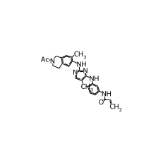 C=CC(=O)Nc1cccc(Nc2nc(Nc3cc4c(cc3C)CN(C(C)=O)CC4)ncc2C)c1